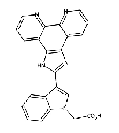 O=C(O)Cn1cc(-c2nc3c4cccnc4c4ncccc4c3[nH]2)c2ccccc21